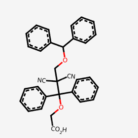 N#CC(C#N)(COC(c1ccccc1)c1ccccc1)C(OCC(=O)O)(c1ccccc1)c1ccccc1